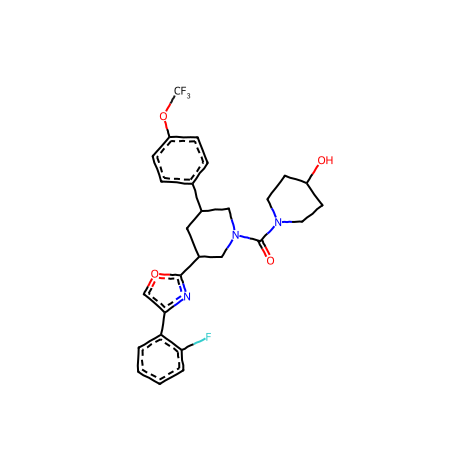 O=C(N1CCC(O)CC1)N1CC(c2ccc(OC(F)(F)F)cc2)CC(c2nc(-c3ccccc3F)co2)C1